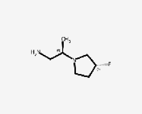 C[C@H](CN)N1CC[C@@H](F)C1